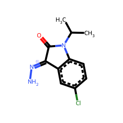 CC(C)N1C(=O)/C(=N/N)c2cc(Cl)ccc21